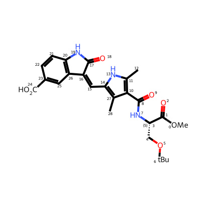 COC(=O)[C@H](COC(C)(C)C)NC(=O)c1c(C)[nH]c(C=C2C(=O)Nc3ccc(C(=O)O)cc32)c1C